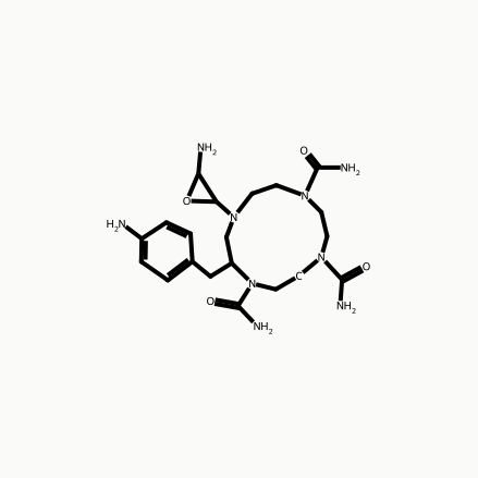 NC(=O)N1CCN(C(N)=O)CCN(C(N)=O)C(Cc2ccc(N)cc2)CN(C2OC2N)CC1